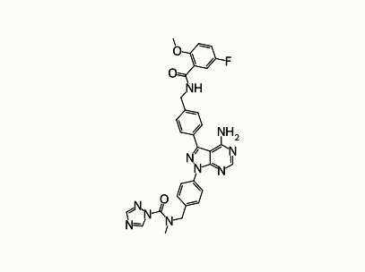 COc1ccc(F)cc1C(=O)NCc1ccc(-c2nn(-c3ccc(CN(C)C(=O)n4cncn4)cc3)c3ncnc(N)c23)cc1